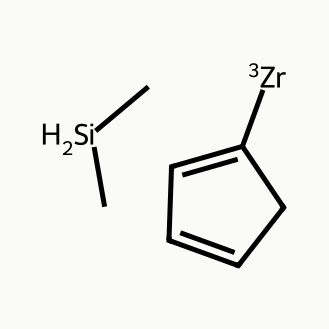 C[SiH2]C.[3Zr][C]1=CC=CC1